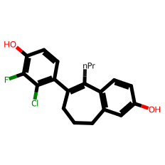 CCCC1=C(c2ccc(O)c(F)c2Cl)CCCc2cc(O)ccc21